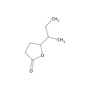 CCC(C)C1CCC(=O)O1